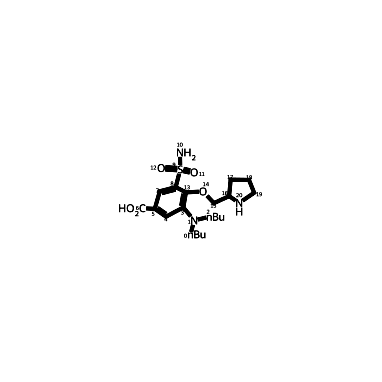 CCCCN(CCCC)c1cc(C(=O)O)cc(S(N)(=O)=O)c1OCC1CCCN1